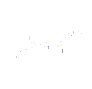 CCCCc1ccc(-c2cc(C)c(-c3nc4sc(-c5sc(-c6ccc(CCCC)cc6)cc5C)nc4s3)s2)cc1